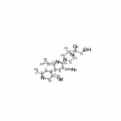 C=Cc1cc(-c2cc(C#N)c(N3CCN(C(=O)CO)C(C)C3)nc2C2CC2)c(C#N)cn1